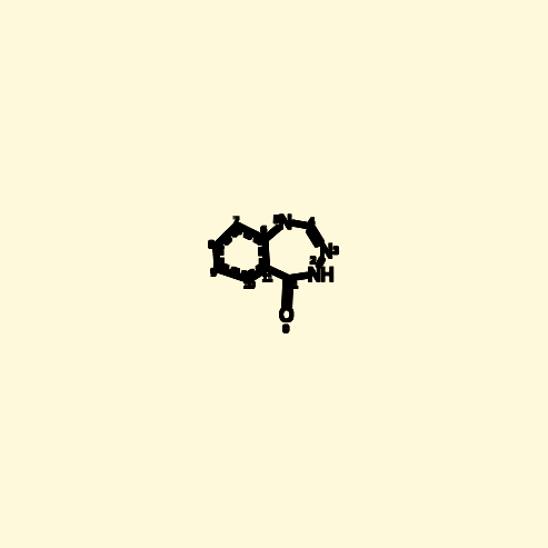 O=C1NN=C[N]c2ccccc21